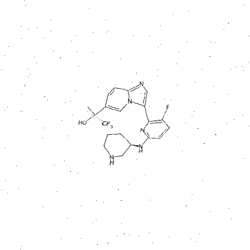 C[C@](O)(c1ccc2ncc(-c3nc(N[C@@H]4CCCNC4)ccc3F)n2c1)C(F)(F)F